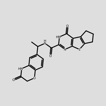 CC(NC(=O)c1nc2sc3c(c2c(=O)[nH]1)CCC3)c1ccc2c(c1)NC(=O)CO2